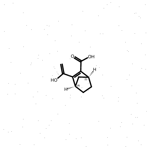 C=C(O)C1=C(C(=O)O)[C@H]2CC[C@@H]1C2